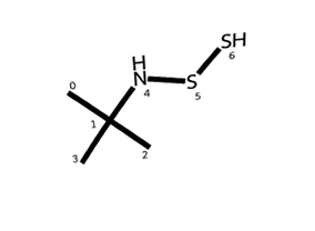 CC(C)(C)NSS